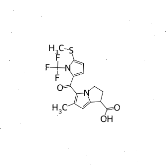 CSc1ccc(C(=O)c2c(C)cc3n2CCC3C(=O)O)n1C(F)(F)F